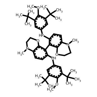 COc1c(C(C)(C)C)cc(Pc2ccc3c(c2-c2c(Pc4cc(C(C)(C)C)c(OC)c(C(C)(C)C)c4)ccc4c2OCCN4C)OCCN3C)cc1C(C)(C)C